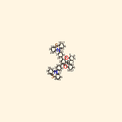 c1ccc2c(c1)Oc1c(-c3ccc(N4c5ccccc5Sc5ccccc54)cc3)cc(-c3ccc(N4c5ccccc5Sc5ccccc54)cc3)c3c1B2c1ccccc1O3